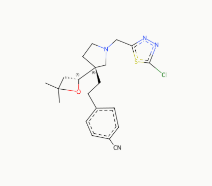 CC1(C)C[C@H]([C@]2(CCc3ccc(C#N)cc3)CCN(Cc3nnc(Cl)s3)C2)O1